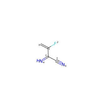 C=C(F)C(=N)C#N